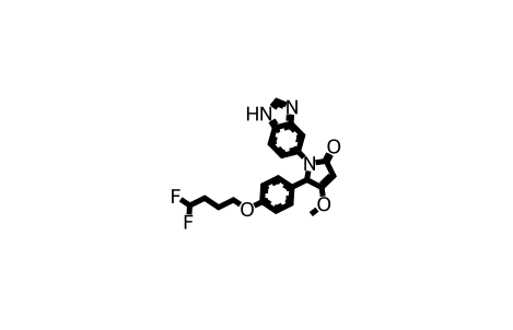 COC1=CC(=O)N(c2ccc3[nH]cnc3c2)C1c1ccc(OCCCC(F)F)cc1